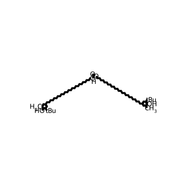 Cc1cc(CCCCCCCCCCCCCCCCCCCCCCCCCO[PH](=O)OCCCCCCCCCCCCCCCCCCCCCCCCCc2cc(C)c(O)c(C(C)(C)C)c2)cc(C(C)(C)C)c1O